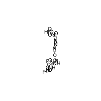 O=C1CCC(N2Cc3cc(N4CCN(CCN5CCC(c6ccc(-c7cnc8[nH]cc(C(=O)c9c(F)ccc(NS(=O)(=O)N%10CC[C@@H](F)C%10)c9F)c8c7)cc6)CC5)CC4)ccc3C2=O)C(=O)N1